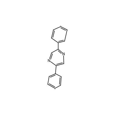 [c]1ccc(-c2cnc(-c3cc[c]cc3)cn2)cc1